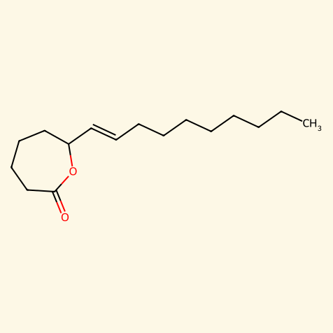 CCCCCCCCC=CC1CCCCC(=O)O1